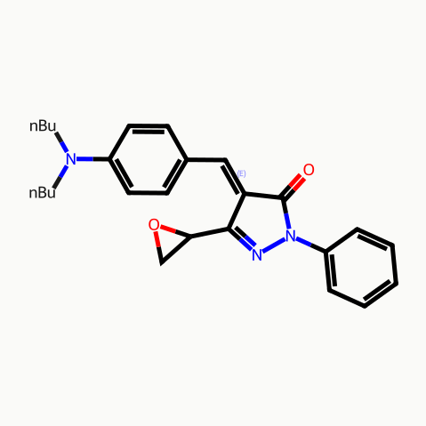 CCCCN(CCCC)c1ccc(/C=C2/C(=O)N(c3ccccc3)N=C2C2CO2)cc1